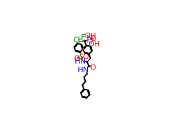 O=C(NCCCCc1ccccc1)[C@H](Cc1ccc(C(F)(F)P(=O)(O)O)cc1)NS(=O)(=O)c1ccc(Cl)cc1